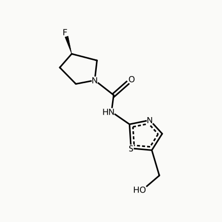 O=C(Nc1ncc(CO)s1)N1CC[C@@H](F)C1